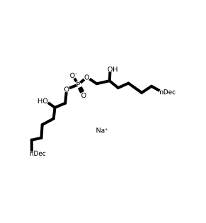 CCCCCCCCCCCCCCC(O)COP(=O)([O-])OCC(O)CCCCCCCCCCCCCC.[Na+]